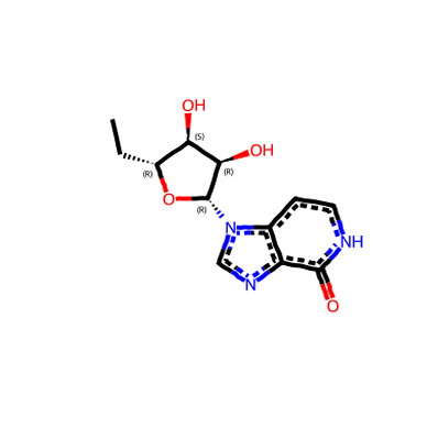 CC[C@H]1O[C@@H](n2cnc3c(=O)[nH]ccc32)[C@H](O)[C@@H]1O